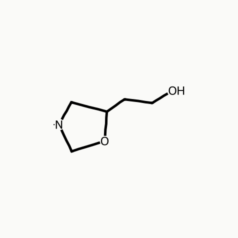 OCCC1C[N]CO1